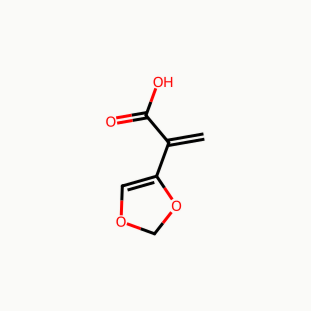 C=C(C(=O)O)C1=COCO1